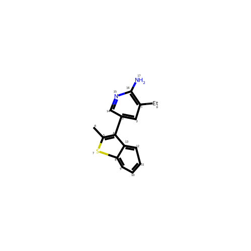 CCc1cc(-c2c(C)sc3ccccc23)cnc1N